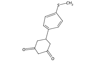 CSc1ccc(C2CC(=O)CC(=O)C2)cc1